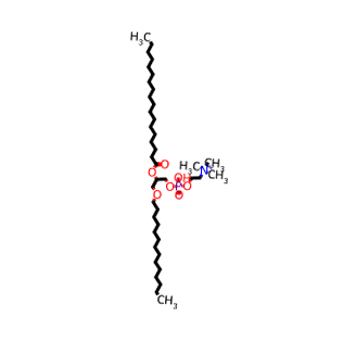 CCCCCCCCCCCCCCCCCC(=O)OC(COCCCCCCCCCCCCCC)COP(=O)(O)OCC[N+](C)(C)C